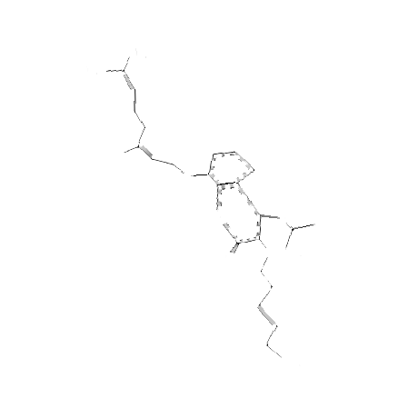 CCC=CCCOc1c(OC(C)C)c2cccc(OCC=C(C)CCC=C(C)C)c2oc1=O